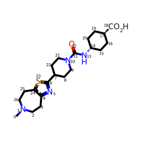 CN1CCc2nc(C3CCN(C(=O)N[C@H]4CC[C@H](C(=O)O)CC4)CC3)sc2CC1